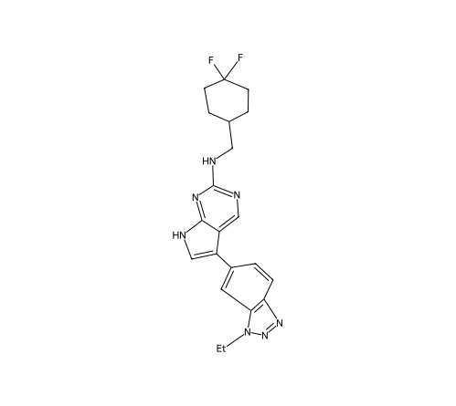 CCn1nnc2ccc(-c3c[nH]c4nc(NCC5CCC(F)(F)CC5)ncc34)cc21